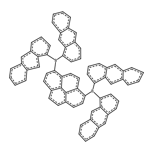 c1ccc2cc3c(B(c4cccc5cc6ccccc6cc45)c4ccc5ccc6ccc(B(c7cccc8cc9ccccc9cc78)c7cccc8cc9ccccc9cc78)c7ccc4c5c67)cccc3cc2c1